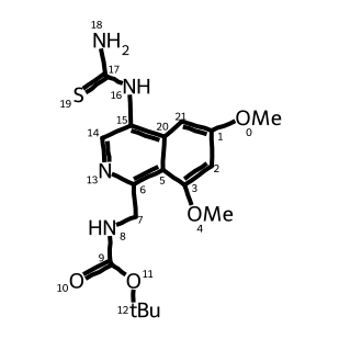 COc1cc(OC)c2c(CNC(=O)OC(C)(C)C)ncc(NC(N)=S)c2c1